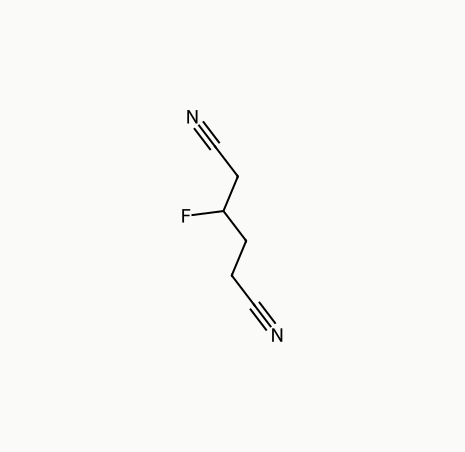 N#CCCC(F)CC#N